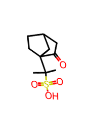 CC(C)(C12CCC(CC1=O)C2)S(=O)(=O)O